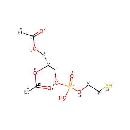 CCC(=O)OC[C@H](COP(=O)(O)OCCS)OC(=O)CC